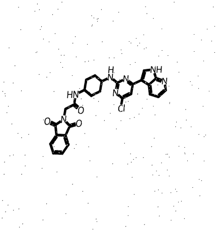 O=C(CN1C(=O)c2ccccc2C1=O)NC1CCC(Nc2nc(Cl)cc(-c3c[nH]c4ncccc34)n2)CC1